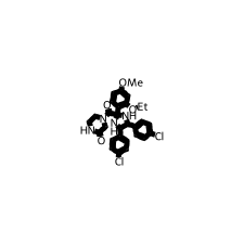 CCOc1cc(OC)ccc1C1(C(=O)N2CCNC(=O)C2)NC(c2ccc(Cl)cc2)C(c2ccc(Cl)cc2)N1